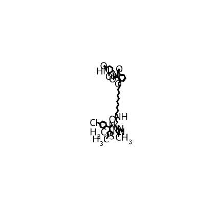 Cc1sc2c(c1C)C(c1ccc(Cl)cc1)=N[C@@H](CC(=O)NCCCCCCCCCCOc1cccc3c1C(=O)N(C1CCC(=O)NC1O)C3=O)c1nnc(C)n1-2